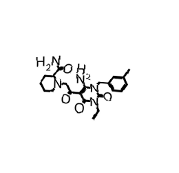 CCn1c(=O)c(C(=O)CN2CCCCC2C(N)=O)c(N)n(Cc2cccc(C)c2)c1=O